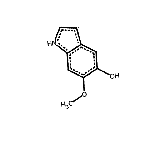 COc1cc2[nH]c[c]c2cc1O